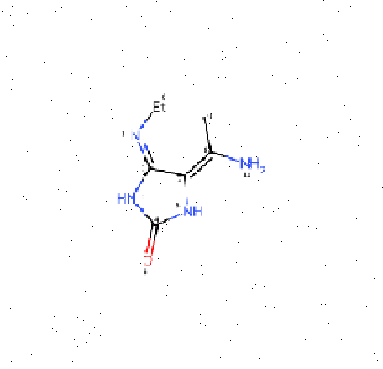 CC/N=C1/NC(=O)N/C1=C(/C)N